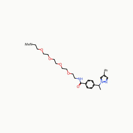 CNCCOCCOCCOCCOCCNC(=O)c1ccc(C(C)n2cc(C(C)C)cn2)cc1